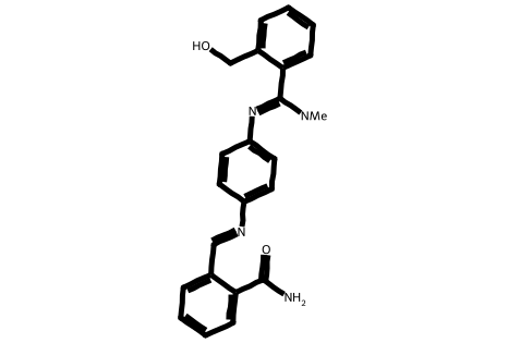 CN/C(=N\c1ccc(/N=C/c2ccccc2C(N)=O)cc1)c1ccccc1CO